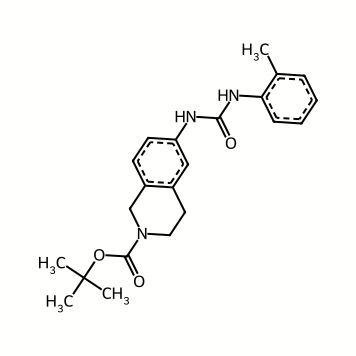 Cc1ccccc1NC(=O)Nc1ccc2c(c1)CCN(C(=O)OC(C)(C)C)C2